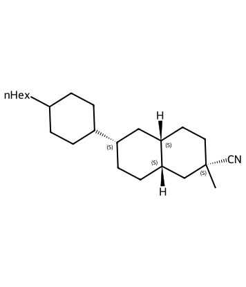 CCCCCCC1CCC([C@H]2CC[C@H]3C[C@@](C)(C#N)CC[C@H]3C2)CC1